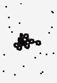 c1ccc(-c2ccc(N(c3ccc(-c4cccc5cccc(-c6ccccc6)c45)cc3)c3cccc4sc5ccc6ccccc6c5c34)c(-c3ccccc3)c2)cc1